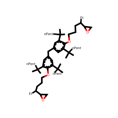 CCCCCC(C)(C)c1cc(Cc2cc(C(C)(C)CCCCC)c(OCCCC(CC)C3CO3)c(C(C)(C)CCCCC)c2)cc(C(C)(C)CCCCC)c1OCCCC(CC)C1CO1